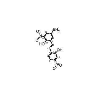 Bc1cc(/C=N/c2ccc([N+](=O)[O-])cc2O)c(O)c([N+](=O)[O-])c1